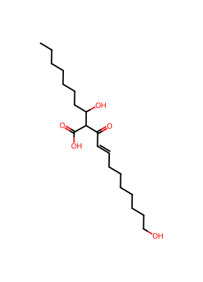 CCCCCCCC(O)C(C(=O)O)C(=O)C=CCCCCCCCO